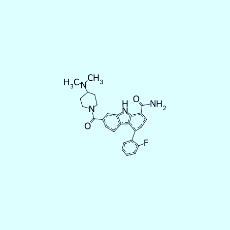 CN(C)C1CCN(C(=O)c2ccc3c(c2)[nH]c2c(C(N)=O)ccc(-c4ccccc4F)c23)CC1